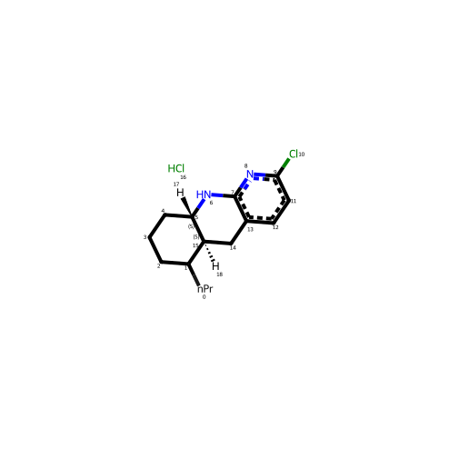 CCCC1CCC[C@@H]2Nc3nc(Cl)ccc3C[C@@H]12.Cl